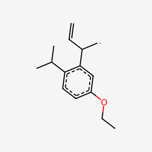 [CH2]C(C=C)c1cc(OCC)ccc1C(C)C